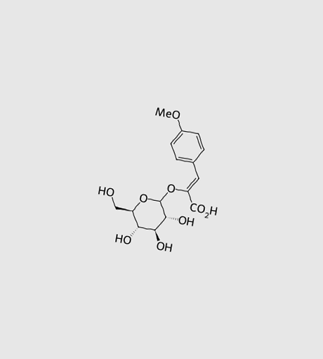 COc1ccc(C=C(OC2O[C@H](CO)[C@@H](O)[C@H](O)[C@H]2O)C(=O)O)cc1